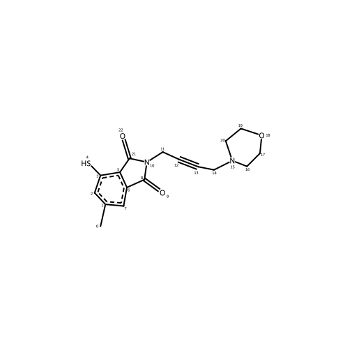 Cc1cc(S)c2c(c1)C(=O)N(CC#CCN1CCOCC1)C2=O